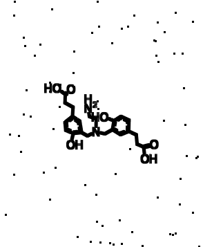 NCCN(Cc1cc(CCC(=O)O)ccc1O)Cc1cc(CCC(=O)O)ccc1O